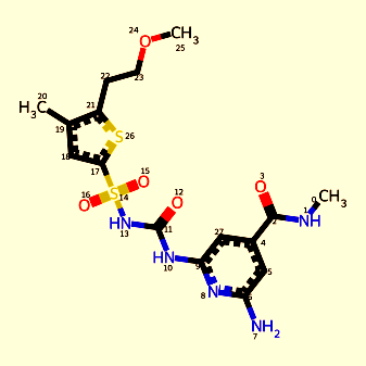 CNC(=O)c1cc(N)nc(NC(=O)NS(=O)(=O)c2cc(C)c(CCOC)s2)c1